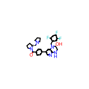 O=C(c1ccc(-c2cnc3c(c2)N(Cc2cc(F)c(F)cc2F)C(O)CN3)cc1)N1CCC[C@H]1CN1CCCC1